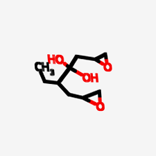 CCC(CC1CO1)C(O)(O)CC1CO1